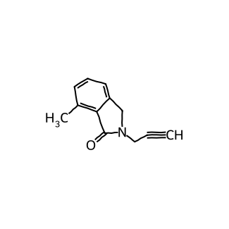 C#CCN1Cc2cccc(C)c2C1=O